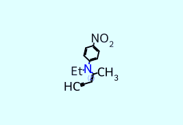 C#C/C=C(/C)N(CC)c1ccc([N+](=O)[O-])cc1